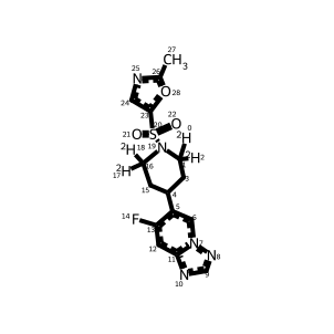 [2H]C1([2H])CC(c2cn3ncnc3cc2F)CC([2H])([2H])N1S(=O)(=O)c1cnc(C)o1